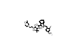 CCN(CCNC(=O)C(NC(=O)c1nn(Cc2ccc(N)cc2F)c2ccccc12)C(C)(C)C)CC(C)=O